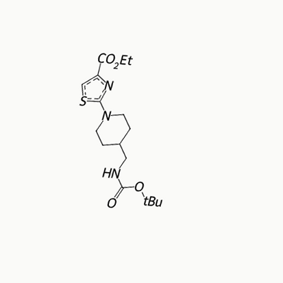 CCOC(=O)c1csc(N2CCC(CNC(=O)OC(C)(C)C)CC2)n1